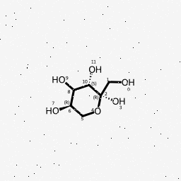 OC[C@@]1(O)OC[C@@H](O)C(O)[C@@H]1O